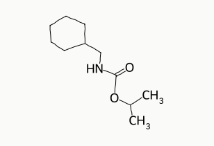 CC(C)OC(=O)NCC1CCCCC1